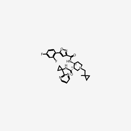 CC1(CN2CC[C@H](NC(=O)c3cc(-c4ccc(F)cc4F)on3)[C@@H](C(=O)NC3(c4ncccn4)CC3)C2)CC1